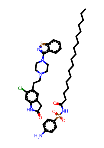 CCCCCCCCCCCCCCCCCC(=O)NS(=O)(=O)c1ccc(N)cc1.O=C1Cc2cc(CCN3CCN(c4nsc5ccccc45)CC3)c(Cl)cc2N1